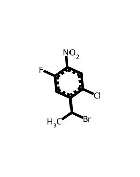 CC(Br)c1cc(F)c([N+](=O)[O-])cc1Cl